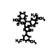 Cc1cc(C)cc(-c2nc(CCc3ccccc3P(=O)(O)O)c(-c3ccc(N(C)C)cc3)[nH]2)c1